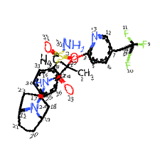 CC(C)(Oc1ccc(C(F)(F)F)cn1)C(=O)NC1CC2CCC(C1)N2c1ccc(S(N)(=O)=O)cc1